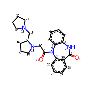 O=C1Nc2ccccc2N(C(=O)CN2CCC[C@H]2CN2CCCC2)c2ccccc21